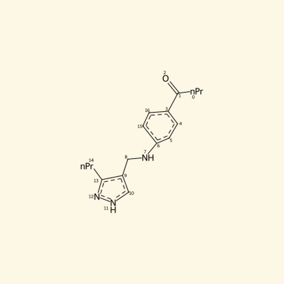 CCCC(=O)c1ccc(NCc2c[nH]nc2CCC)cc1